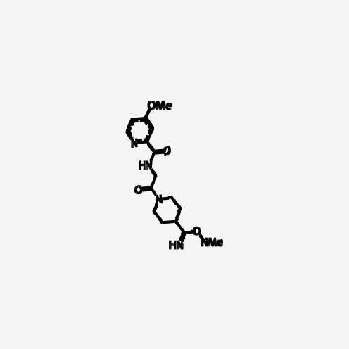 CNOC(=N)C1CCN(C(=O)CNC(=O)c2cc(OC)ccn2)CC1